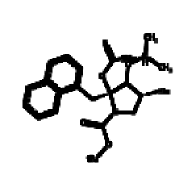 CSC(=S)O[C@@]1(Cc2cccc3ccccc23)C(O[SiH](C)C)[C@H](C(C)(C)C)CN1C(=O)OC(C)(C)C